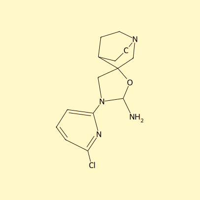 NC1OC2(CN3CCC2CC3)CN1c1cccc(Cl)n1